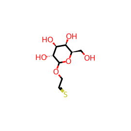 OC[C@H]1OC(OCC=S)[C@H](O)[C@@H](O)[C@H]1O